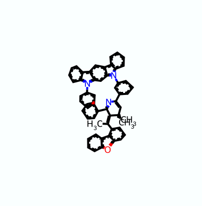 CC\C=C(/N=C(\C(CC)=C(/C)c1cccc2oc3ccccc3c12)c1ccccc1)c1cccc(-n2c3ccccc3c3cc4c5ccccc5n(-c5ccccc5)c4cc32)c1